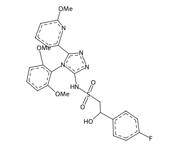 COc1cccc(-c2nnc(NS(=O)(=O)CC(O)c3ccc(F)cc3)n2-c2c(OC)cccc2OC)n1